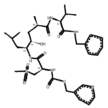 CC(C)C[C@H](NC(=O)[C@H](CS(C)(=O)=O)NC(=O)OCc1cccnc1)[C@@H](O)C[C@@H](C)C(=O)N[C@H](C(=O)NCc1ccccc1)C(C)C